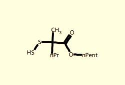 CCCCCOC(=O)C(C)(CCC)SS